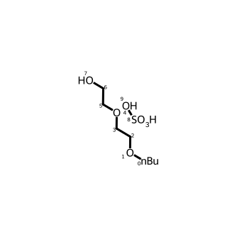 CCCCOCCOCCO.O=S(=O)(O)O